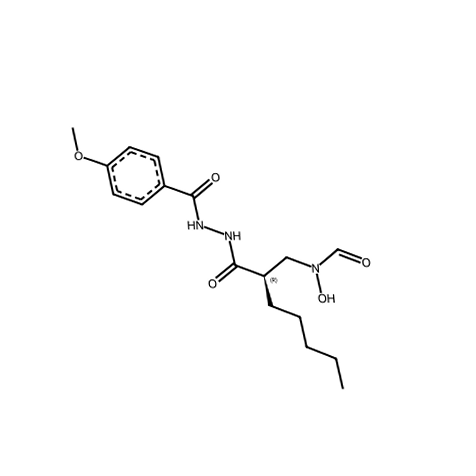 CCCCC[C@H](CN(O)C=O)C(=O)NNC(=O)c1ccc(OC)cc1